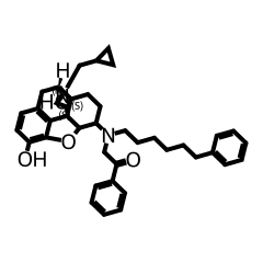 O=C(CN(CCCCCCc1ccccc1)C1CC[C@@]2(O)[C@H]3Cc4ccc(O)c5c4[C@@]2(CCN3CC2CC2)C1O5)c1ccccc1